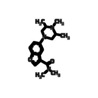 CC1CN(c2ccc3occ(C(=O)N(C)C)c3c2)CC(C)N1C